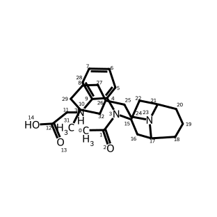 CC(=O)N(c1ccccc1NCC(=O)O)C1CC2CCCC(C1)N2CCC1CCCC(C)C1